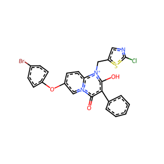 O=c1c(-c2ccccc2)c(O)[n+](Cc2cnc(Cl)s2)c2ccc(Oc3ccc(Br)cc3)cn12